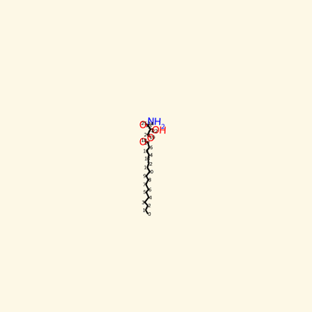 CCCCCCCCCCCCCCCCCC(=O)OCC(O)C(N)=O